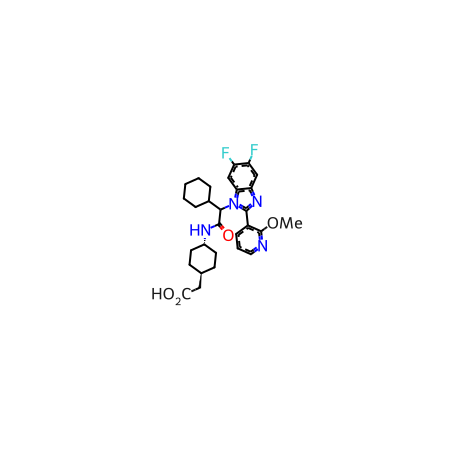 COc1ncccc1-c1nc2cc(F)c(F)cc2n1C(C(=O)N[C@H]1CC[C@H](CC(=O)O)CC1)C1CCCCC1